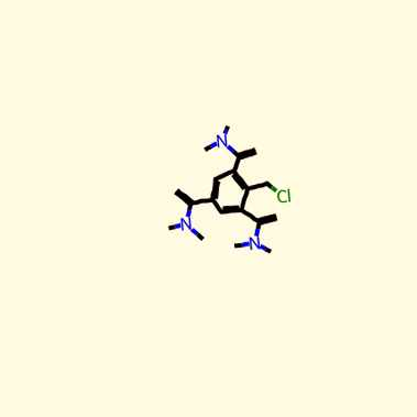 C=C(c1cc(C(=C)N(C)C)c(CCl)c(C(=C)N(C)C)c1)N(C)C